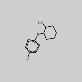 OC1CCCCC1Sc1ccc(Br)cc1